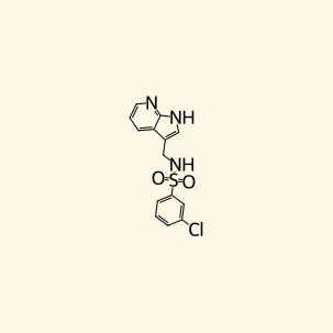 O=S(=O)(NCc1c[nH]c2ncccc12)c1cccc(Cl)c1